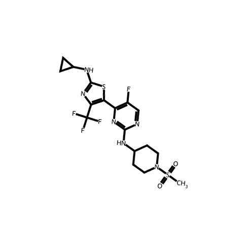 CS(=O)(=O)N1CCC(Nc2ncc(F)c(-c3sc(NC4CC4)nc3C(F)(F)F)n2)CC1